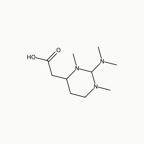 CN(C)C1N(C)CCC(CC(=O)O)N1C